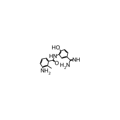 Cc1c(N)cccc1C(=O)Nc1cc(C(=N)N)ccc1O